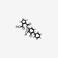 COc1c(NC(=O)C2=C(C(=O)O)CCC2)ccc(-c2ccccc2)c1Cl